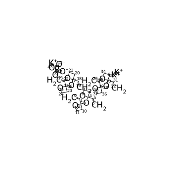 C=CC1(OC2(C=C)CCO2)CCO1.C=CC1(OC2(C=C)CCO2)CCO1.C=CC1(OC2(C=C)CCO2)CCO1.O=P([O-])([O-])[O-].[K+].[K+].[K+]